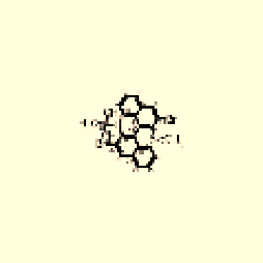 COc1c(Br)cc2ccccc2c1-c1c(OC(C)(C)C)c(Br)cc2ccccc12